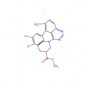 COC(=O)C1CCCN(c2ncnc3ccc(C)c(-c4ccc(Cl)c(Cl)c4)c23)C1